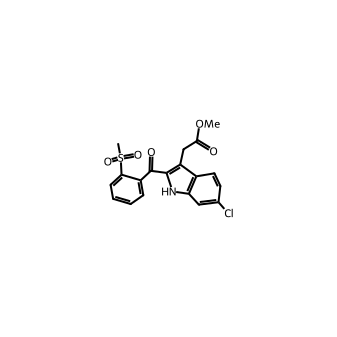 COC(=O)Cc1c(C(=O)c2ccccc2S(C)(=O)=O)[nH]c2cc(Cl)ccc12